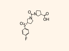 O=C(O)C1CCN(C(=O)N2CCC([S+]([O-])c3ccc(F)cc3)C2)C1